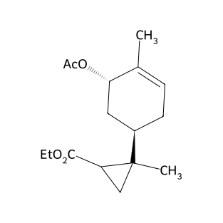 CCOC(=O)C1CC1(C)[C@@H]1CC=C(C)[C@@H](OC(C)=O)C1